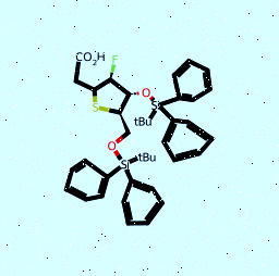 CC(C)(C)[Si](OC[C@H]1SC(CC(=O)O)[C@@H](F)[C@@H]1O[Si](c1ccccc1)(c1ccccc1)C(C)(C)C)(c1ccccc1)c1ccccc1